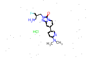 CN(C)c1ccc(-c2ccn3c(=O)n(C/C(=C/F)CN)nc3c2)cn1.Cl